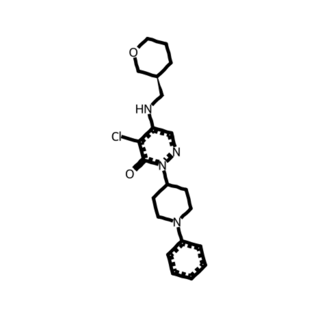 O=c1c(Cl)c(NC[C@@H]2CCCOC2)cnn1C1CCN(c2ccccc2)CC1